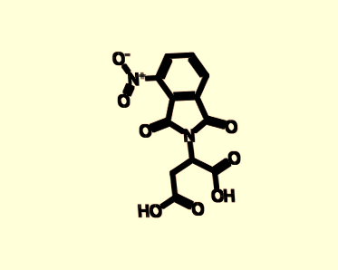 O=C(O)CC(C(=O)O)N1C(=O)c2cccc([N+](=O)[O-])c2C1=O